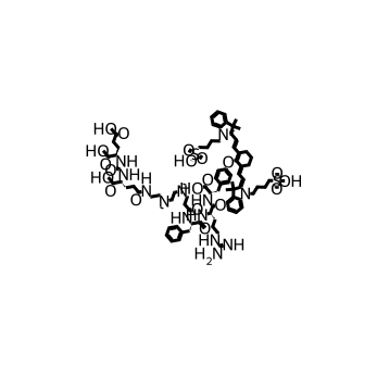 CN(CCNC(=O)CC[C@@H](NC(=O)N[C@H](CCC(=O)O)C(=O)O)C(=O)O)CCN(C)CCC(=O)N[C@@H](Cc1ccccc1)C(=O)N[C@@H](CCCNC(=N)N)C(=O)N[C@@H](Cc1ccc(OC2=C(/C=C/C3=[N+](CCCCS(=O)(=O)O)c4ccccc4C3(C)C)CCC/C2=C\C=C2\N(CCCCS(=O)(=O)O)c3ccccc3C2(C)C)cc1)C(=O)O